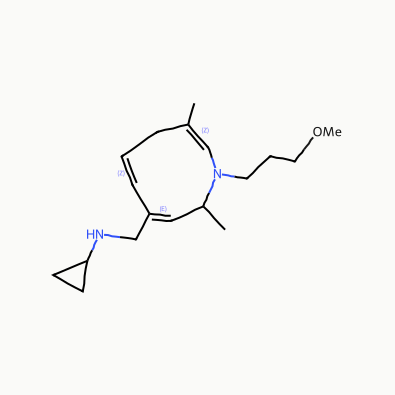 COCCCN1/C=C(/C)C/C=C\C(CNC2CC2)=C/C1C